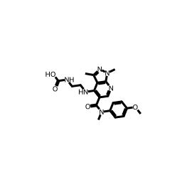 COc1ccc(N(C)C(=O)c2cnc3c(c(C)nn3C)c2NCCNC(=O)O)cc1